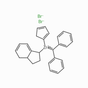 C1=CC[C]([Zr+2](=[C](c2ccccc2)c2ccccc2)[CH]2CCC3CC=CC=C32)=C1.[Br-].[Br-]